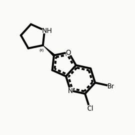 Clc1nc2cc([C@H]3CCCN3)oc2cc1Br